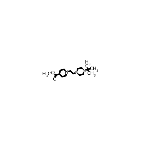 COC(=O)C1CCN(CCN2CCN(C(C)(C)C)CC2)CC1